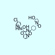 O=C(Nc1ccc(Cl)cn1)c1oc2cccnc2c1NC(=O)[C@H]1CC[C@H](C(=O)N2CCC(O)C2)CC1